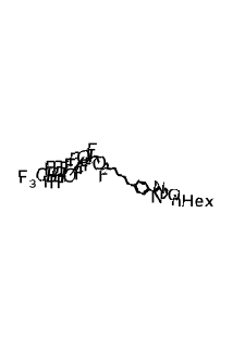 CCCCCCOc1cnc(-c2ccc(CCCC[C@H](F)COCC(F)(F)OC(F)(F)C(F)(F)OC(F)(F)C(F)(F)C(F)(F)C(F)(F)F)cc2)nc1